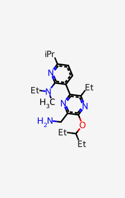 CCc1nc(OC(CC)CC)c(CN)nc1-c1ccc(C(C)C)nc1N(C)CC